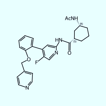 CC(=O)N[C@@H]1CCC[C@H](C(=O)Nc2cc(-c3ccccc3OCc3ccncc3)c(F)cn2)C1